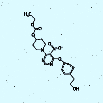 CCOC(=O)OC1CCN(c2ncnc(Oc3ccc(CCO)cc3)c2[N+](=O)[O-])CC1